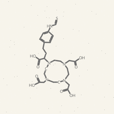 O=C(O)CN1CCN(CC(=O)O)CCN(C(CCc2ccc(NC=S)cc2)C(=O)O)CCN(CC(=O)O)CC1